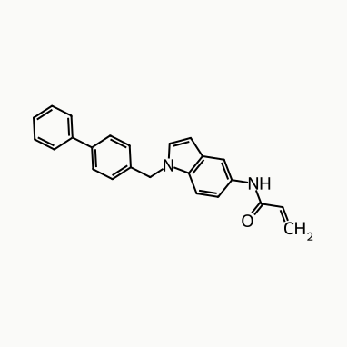 C=CC(=O)Nc1ccc2c(ccn2Cc2ccc(-c3ccccc3)cc2)c1